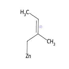 C/C=C(/C)[CH2][Zn]